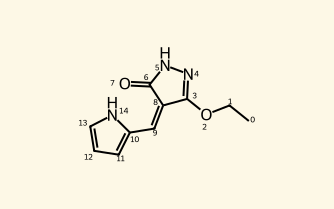 CCOC1=NNC(=O)C1=Cc1ccc[nH]1